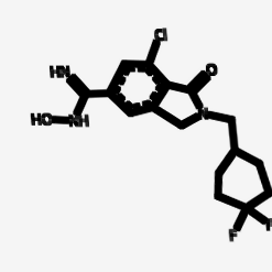 N=C(NO)c1cc(Cl)c2c(c1)CN(CC1CCC(F)(F)CC1)C2=O